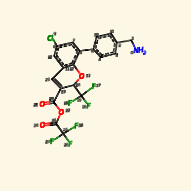 NCc1ccc(-c2cc(Cl)cc3c2OC(C(F)(F)F)C(C(=O)OC(=O)C(F)(F)F)=C3)cc1